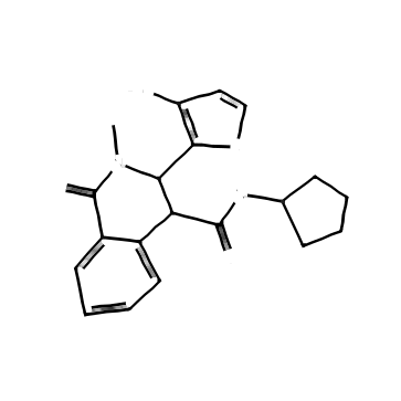 CN1C(=O)c2ccccc2C(C(=O)NC2CCCC2)C1c1sccc1C(F)(F)F